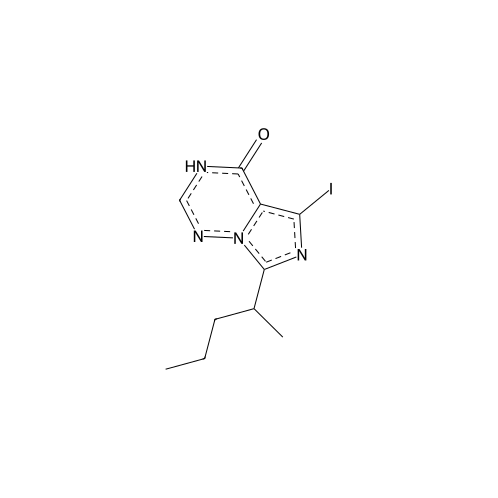 CCCC(C)c1nc(I)c2c(=O)[nH]cnn12